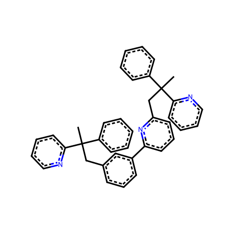 CC(Cc1cccc(-c2cccc(CC(C)(c3ccccc3)c3ccccn3)n2)c1)(c1ccccc1)c1ccccn1